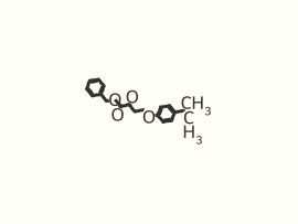 CC(C)c1ccc(OCCC(=O)C(=O)OCc2ccccc2)cc1